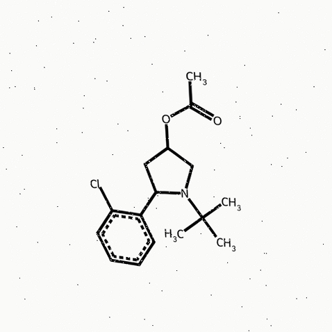 CC(=O)OC1CC(c2ccccc2Cl)N(C(C)(C)C)C1